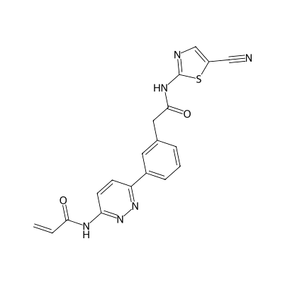 C=CC(=O)Nc1ccc(-c2cccc(CC(=O)Nc3ncc(C#N)s3)c2)nn1